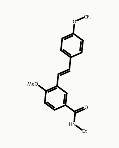 CCNC(=O)c1ccc(OC)c(/C=C/c2ccc(OC(F)(F)F)cc2)c1